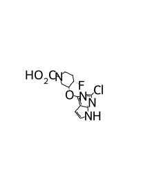 O=C(O)N1CC[C@H](F)[C@H](Oc2nc(Cl)nc3[nH]ccc23)C1